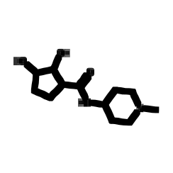 CN1CCC(NC(=O)C2CCC(O)C2O)CC1